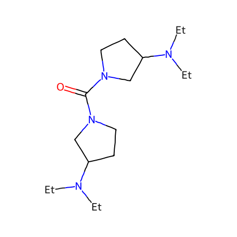 CCN(CC)C1CCN(C(=O)N2CCC(N(CC)CC)C2)C1